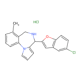 Cc1cccc2c1CNC(c1cc3cc(Cl)ccc3o1)c1cccn1-2.Cl